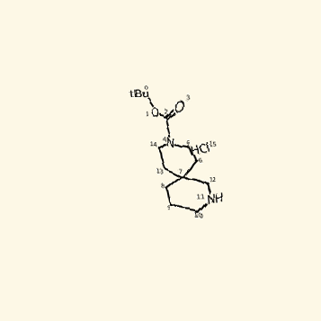 CC(C)(C)OC(=O)N1CCC2(CCCNC2)CC1.Cl